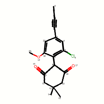 CC#Cc1cc(Cl)c(C2C(=O)CC(C)(C)CC2=O)c(OC)c1